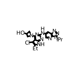 CCc1[nH]c2nc(Nc3cnc4c(c3)nnn4C(C)C)nc(N3CC(O)C3)c2c1Cl